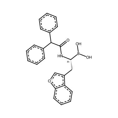 O=C(N[C@@H](Cc1coc2ccccc12)B(O)O)C(c1ccccc1)c1ccccc1